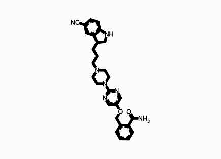 N#Cc1ccc2c(c1)C(CCCN1CCN(c3ncc(OCc4ccccc4C(N)=O)cn3)CC1)CN2